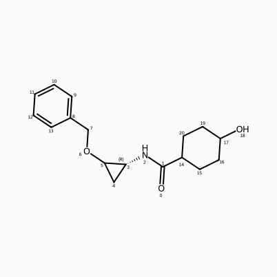 O=C(N[C@@H]1CC1OCc1ccccc1)C1CCC(O)CC1